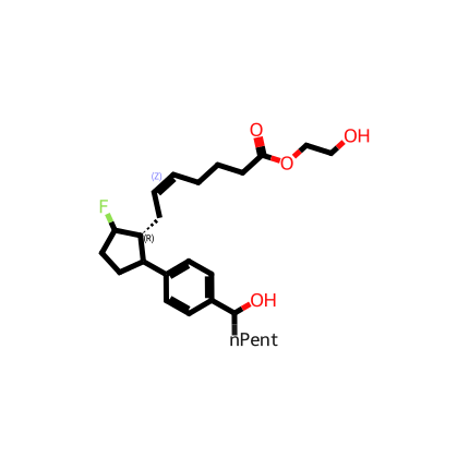 CCCCCC(O)c1ccc(C2CCC(F)[C@@H]2C/C=C\CCCC(=O)OCCO)cc1